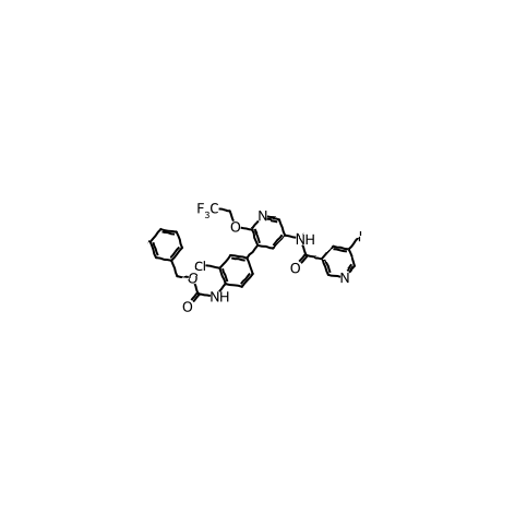 O=C(Nc1ccc(-c2cc(NC(=O)c3cncc(I)c3)cnc2OCC(F)(F)F)cc1Cl)OCc1ccccc1